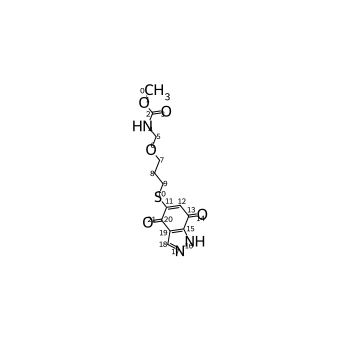 COC(=O)NCOCCCSC1=CC(=O)c2[nH]ncc2C1=O